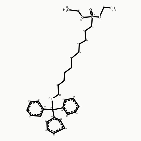 CCOP(=O)(CCCCCCCCCCCOC(c1ccccc1)(c1ccccc1)c1ccccc1)OCC